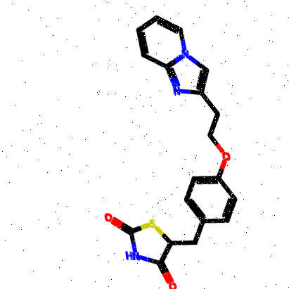 O=C1NC(=O)C(Cc2ccc(OCCc3cn4ccccc4n3)cc2)S1